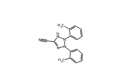 Cc1ccccc1N1N=C(C#N)NN1c1ccccc1C